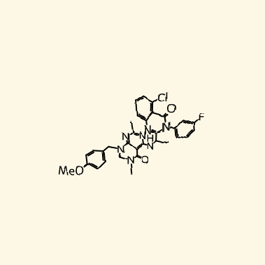 COc1ccc(CN2CN(C)C(=O)c3c(NC(C)c4nc5cccc(Cl)c5c(=O)n4-c4cccc(F)c4)nc(C)nc32)cc1